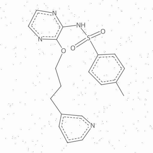 Cc1ccc(S(=O)(=O)Nc2nccnc2OCCCc2cccnc2)cc1